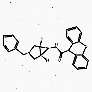 O=C(N[C@H]1[C@@H]2CN(Cc3ccccc3)C[C@@H]21)C1c2ccccc2Oc2ccccc21